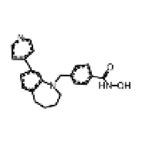 O=C(NO)c1ccc(CN2CCCCc3ccc(-c4ccncc4)cc32)cc1